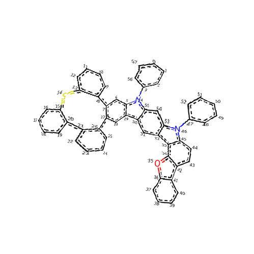 c1ccc(-n2c3cc4c5ccccc5sc5ccccc5c5ccccc5c4cc3c3cc4c5c6oc7ccccc7c6ccc5n(-c5ccccc5)c4cc32)cc1